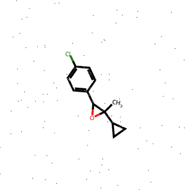 CC1(C2CC2)OC1c1ccc(Cl)cc1